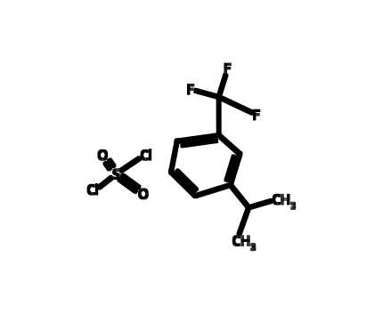 CC(C)c1cccc(C(F)(F)F)c1.O=S(=O)(Cl)Cl